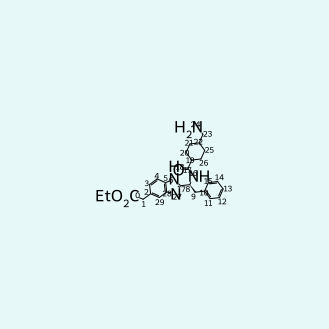 CCOC(=O)Cc1ccc2[nH]c([C@H](Cc3ccccc3)NC(=O)C3CCC(CN)CC3)nc2c1